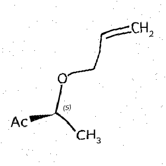 C=CCO[C@@H](C)C(C)=O